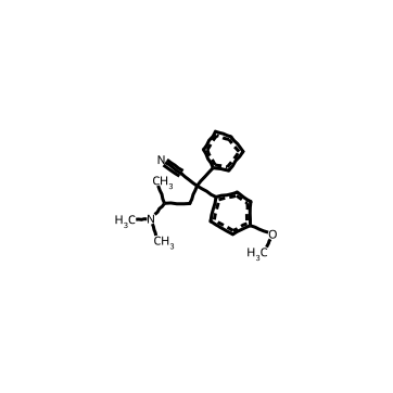 COc1ccc(C(C#N)(CC(C)N(C)C)c2ccccc2)cc1